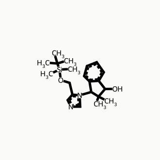 CC1(C)C(O)c2ccccc2C1n1cncc1CO[Si](C)(C)C(C)(C)C